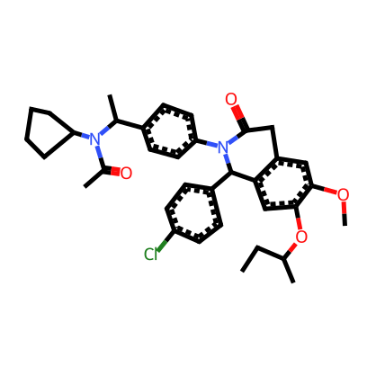 CCC(C)Oc1cc2c(cc1OC)CC(=O)N(c1ccc(C(C)N(C(C)=O)C3CCCC3)cc1)C2c1ccc(Cl)cc1